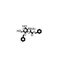 CC(=O)N[C@@H]1[C@@H](OC(C)C(=O)OCc2ccccc2)[C@H](OCc2ccccc2)[C@@H](CO)O[C@H]1O